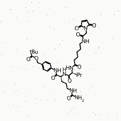 CC(C)[C@H](NC(=O)CCCCCNC(=O)CN1C(=O)C=CC1=O)C(=O)N[C@@H](CCCNC(N)=O)C(=O)Nc1ccc(COC(=O)C(C)(C)C)cc1